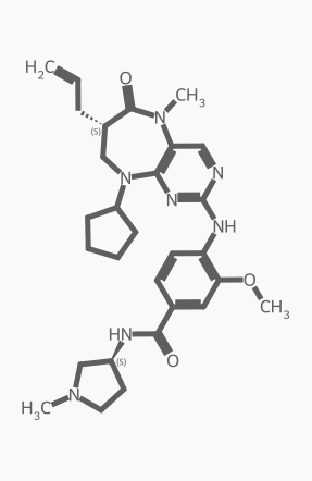 C=CC[C@H]1CN(C2CCCC2)c2nc(Nc3ccc(C(=O)N[C@H]4CCN(C)C4)cc3OC)ncc2N(C)C1=O